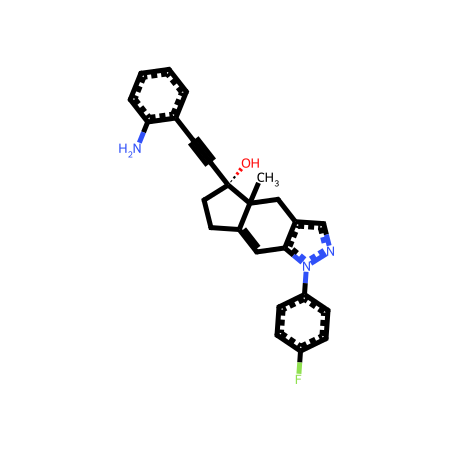 CC12Cc3cnn(-c4ccc(F)cc4)c3C=C1CC[C@@]2(O)C#Cc1ccccc1N